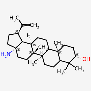 C=C(C)[C@@H]1CC[C@]2(N)CC[C@]3(C)[C@H](CCC4[C@@]5(C)CC[C@H](O)C(C)(C)C5CC[C@]43C)C12